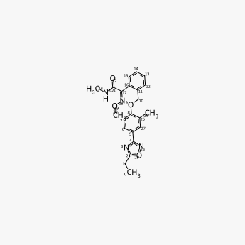 CCc1nc(-c2ccc(OCc3ccccc3C(=NOC)C(=O)NC)c(C)c2)no1